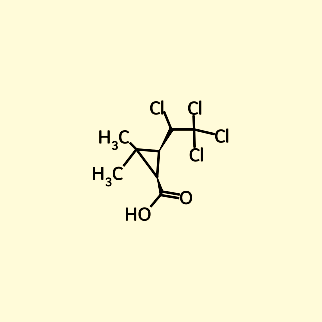 CC1(C)[C@H](C(=O)O)[C@@H]1C(Cl)C(Cl)(Cl)Cl